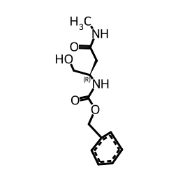 CNC(=O)C[C@H](CO)NC(=O)OCc1ccccc1